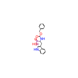 O=C(NC(Cc1c[nH]c2ccccc12)[PH](=O)O)OCc1ccccc1